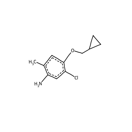 Cc1cc(OCC2CC2)c(Cl)cc1N